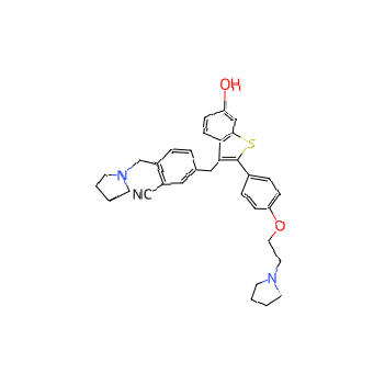 N#Cc1cc(Cc2c(-c3ccc(OCCN4CCCC4)cc3)sc3cc(O)ccc23)ccc1CN1CCCC1